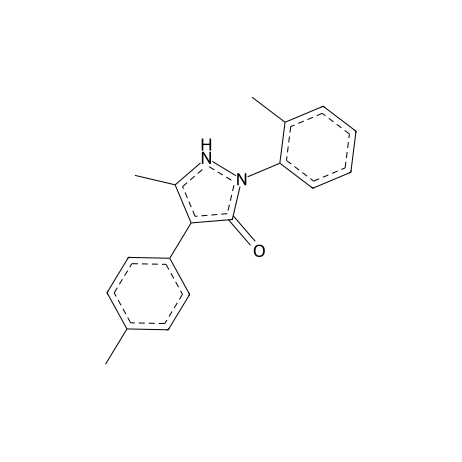 Cc1ccc(-c2c(C)[nH]n(-c3ccccc3C)c2=O)cc1